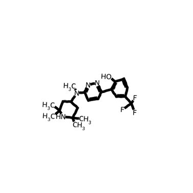 CN(c1ccc(-c2cc(C(F)(F)F)ccc2O)nn1)C1CC(C)(C)NC(C)(C)C1